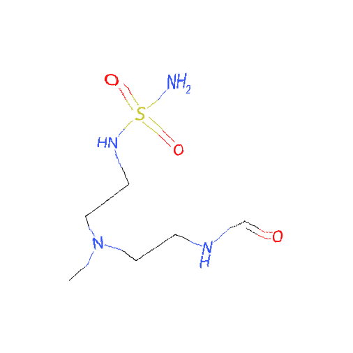 CN(CCNC=O)CCNS(N)(=O)=O